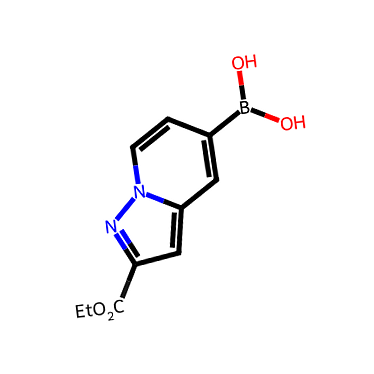 CCOC(=O)c1cc2cc(B(O)O)ccn2n1